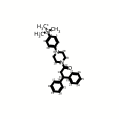 C[Si](C)(C)c1ccc(N2CCN(C(=O)CC(c3ccccc3)c3ccccc3)CC2)cc1